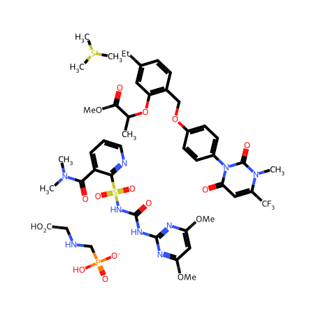 CCc1ccc(COc2ccc(-n3c(=O)cc(C(F)(F)F)n(C)c3=O)cc2)c(OC(C)C(=O)OC)c1.COc1cc(OC)nc(NC(=O)NS(=O)(=O)c2ncccc2C(=O)N(C)C)n1.C[S+](C)C.O=C(O)CNCP(=O)([O-])O